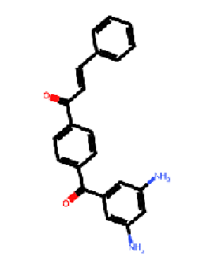 Nc1cc(N)cc(C(=O)c2ccc(C(=O)C=Cc3ccccc3)cc2)c1